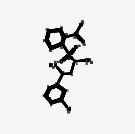 CN(CC(N)c1cccc(Cl)c1)S(=O)(=O)c1ccccc1[N+](=O)[O-]